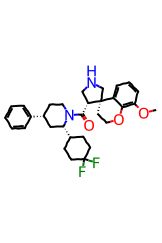 COc1cccc2c1OCC[C@]21CNC[C@H]1C(=O)N1CC[C@@H](c2ccccc2)C[C@H]1C1CCC(F)(F)CC1